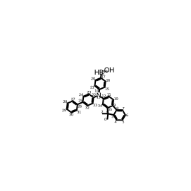 CC1(C)c2ccccc2-c2ccc(N(c3ccc(BO)cc3)c3ccc(-c4ccccc4)cc3)cc21